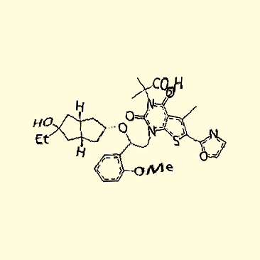 CCC1(O)C[C@H]2C[C@@H](OC(Cn3c(=O)n(C(C)(C)C(=O)O)c(=O)c4c(C)c(-c5ncco5)sc43)c3ccccc3OC)C[C@H]2C1